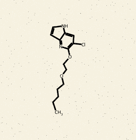 CCCCCOCCOc1nc2cc[nH]c2cc1Cl